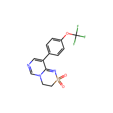 O=S1(=O)CCN2C=NC=C(c3ccc(OC(F)(F)F)cc3)C2=N1